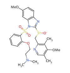 COc1ccc2nc([S+]([O-])Cc3ncc(C)c(OC)c3C)n(S(=O)(=O)c3ccccc3OCCN(C)C)c2c1